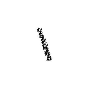 c1ccc(-c2cc3sc(-c4nc5cc6cc7sc(-c8cc9sc(-c%10ccccc%10)cc9s8)nc7cc6cc5s4)cc3s2)cc1